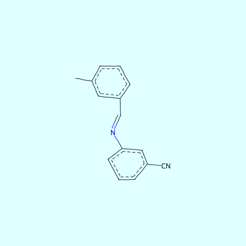 Cc1cccc(C=Nc2cccc(C#N)c2)c1